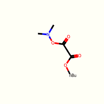 CCCCOC(=O)C(=O)ON(C)C